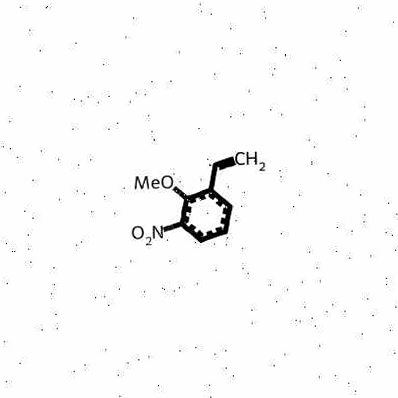 C=[C]c1cccc([N+](=O)[O-])c1OC